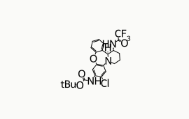 CC(C)(C)OC(=O)Nc1cc2c(cc1Cl)N1CCC[C@H](NC(=O)C(F)(F)F)[C@@H]1c1ccccc1O2